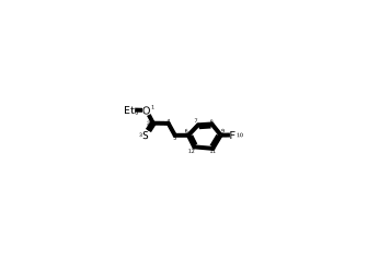 CCOC(=S)CCc1ccc(F)cc1